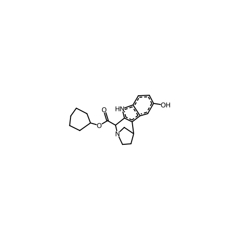 O=C(OC1CCCCC1)C1c2[nH]c3ccc(O)cc3c2C2CCN1C2